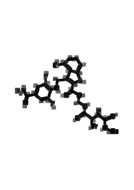 CC(C)C(NC(=O)OC(C)(C)C)C(=O)OCOC(=O)c1sc2cccc(Cl)c2c1COc1c(F)cc(C(N)=O)cc1F